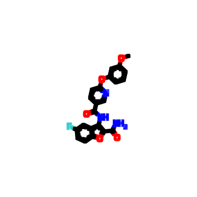 COc1cccc(Oc2ccc(C(=O)Nc3c(C(N)=O)oc4ccc(F)cc34)cn2)c1